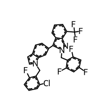 Fc1cc(F)c(Cn2nc3c(C(F)(F)F)cccc3c2-c2ccc3ccn(Cc4c(F)cccc4Cl)c3c2)c(F)c1